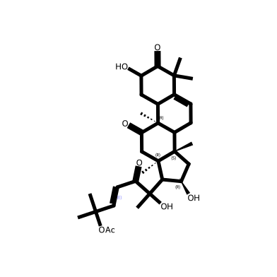 CC(=O)OC(C)(C)/C=C/C(=O)C(C)(O)C1[C@H](O)C[C@@]2(C)C3CC=C4C(CC(O)C(=O)C4(C)C)[C@]3(C)C(=O)C[C@]12C